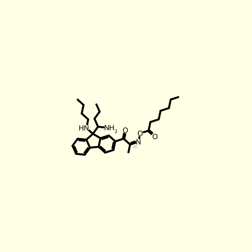 CCCCCCC(=O)O/N=C(/C)C(=O)c1ccc2c(c1)C(NCCCC)(C(N)CCC)c1ccccc1-2